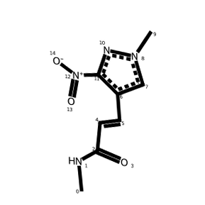 CNC(=O)C=Cc1cn(C)nc1[N+](=O)[O-]